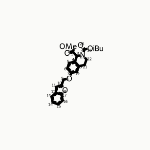 COC(=O)C1c2ccc(OCc3cc4ccccc4o3)cc2CCN1C(=O)OCC(C)C